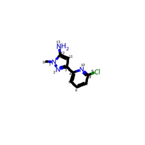 Cn1nc(-c2cccc(Cl)n2)cc1N